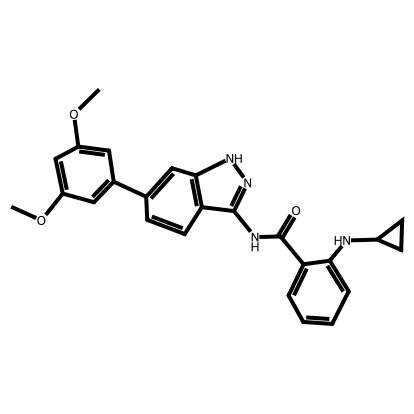 COc1cc(OC)cc(-c2ccc3c(NC(=O)c4ccccc4NC4CC4)n[nH]c3c2)c1